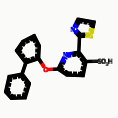 O=S(=O)(O)c1ccc(Oc2ccccc2-c2ccccc2)nc1-c1nccs1